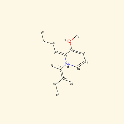 CCC/C=C1\C(OC)=CC=CN1/C(C)=C(\C)CC